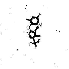 Cc1cc(F)ccc1Oc1ncc(C(F)(F)F)c(C)c1C#N